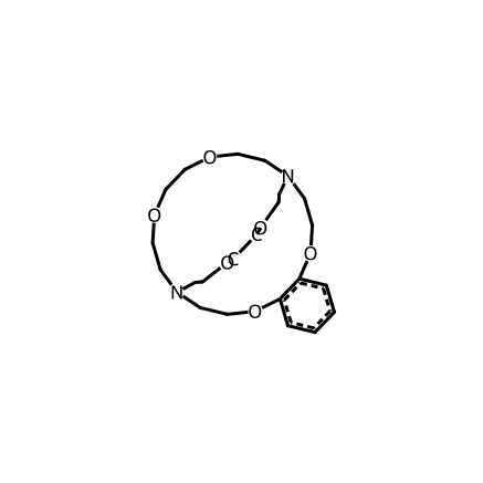 c1ccc2c(c1)OCCN1CCOCCOCCN(CCOCCOCC1)CCO2